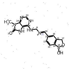 Cn1c(=O)[nH]c2c(NC/N=C/c3ccc4c(c3)COB4O)ncnc21